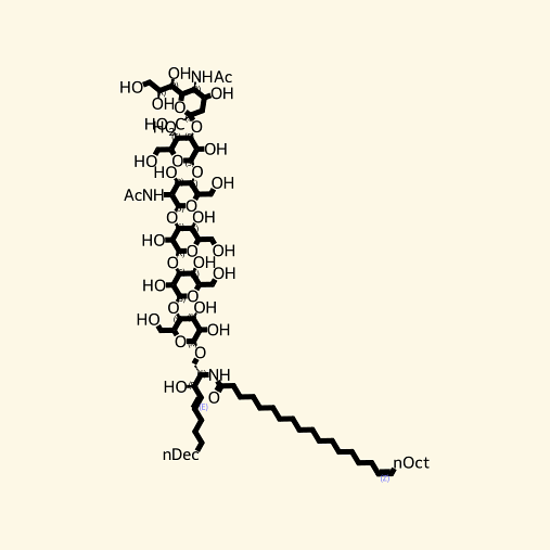 CCCCCCCC/C=C\CCCCCCCCCCCCCCCC(=O)N[C@@H](CO[C@@H]1OC(CO)[C@@H](O[C@@H]2OC(CO)[C@H](O)[C@H](O[C@H]3OC(CO)[C@H](O)[C@H](O[C@@H]4OC(CO)[C@@H](O[C@@H]5OC(CO)[C@H](O)[C@H](O[C@]6(C(=O)O)CC(O)[C@@H](NC(C)=O)C([C@H](O)[C@H](O)CO)O6)C5O)[C@H](O)C4NC(C)=O)C3O)C2O)[C@H](O)C1O)[C@H](O)/C=C/CCCCCCCCCCCCC